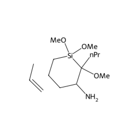 C=CC.CCCC1(OC)C(N)CCC[Si]1(OC)OC